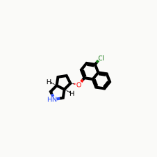 Clc1ccc(O[C@H]2CC[C@@H]3CNC[C@@H]32)c2ccccc12